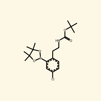 CC(C)(C)OC(=O)NCCc1ccc(Cl)cc1B1OC(C)(C)C(C)(C)O1